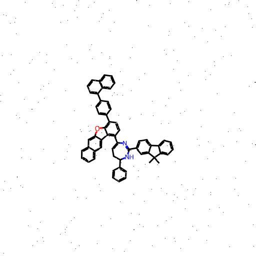 CC1(C)c2ccccc2-c2ccc(C3=NC(c4ccc(-c5ccc(-c6cccc7ccccc67)cc5)c5oc6cc7ccccc7cc6c45)=CCC(c4ccccc4)N3)cc21